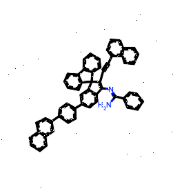 N/C(=N\C1=C(C#Cc2cccc3ccccc23)C2(c3cc(-c4ccc(-c5ccc6ccccc6c5)cc4)ccc31)c1ccccc1-c1ccccc12)c1ccccc1